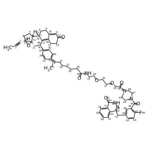 CC#C[C@]12CC[C@H]3[C@@H]4CCC5=CC(=O)CCC5=C4[C@@H](c4ccc(N(C)CCCCCC(=O)NCCOCCOCC(=O)N5CCN(C(=O)c6cc(Cc7n[nH]c(=O)c8ccccc78)ccc6F)CC5)cc4)C[C@@]31O2